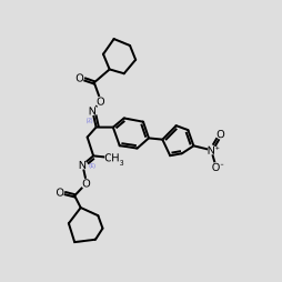 C/C(C/C(=N/OC(=O)C1CCCCC1)c1ccc(-c2ccc([N+](=O)[O-])cc2)cc1)=N\OC(=O)C1CCCCC1